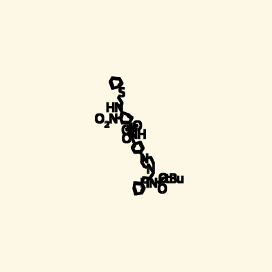 CC(C)(C)OC(=O)NC(Cc1ccccc1)CN1CCN(c2ccc(C(=O)NS(=O)(=O)c3ccc(NCCSc4ccccc4)c([N+](=O)[O-])c3)cc2)CC1